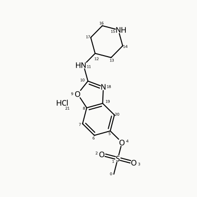 CS(=O)(=O)Oc1ccc2oc(NC3CCNCC3)nc2c1.Cl